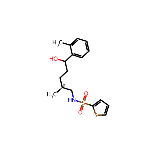 Cc1ccccc1C(O)CC[C@H](C)CNS(=O)(=O)c1cccs1